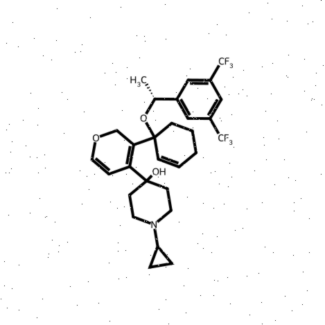 C[C@@H](OC1(C2=C(C3(O)CCN(C4CC4)CC3)C=COC2)C=CCCC1)c1cc(C(F)(F)F)cc(C(F)(F)F)c1